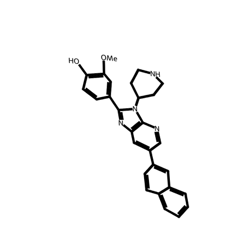 COc1cc(-c2nc3cc(-c4ccc5ccccc5c4)cnc3n2C2CCNCC2)ccc1O